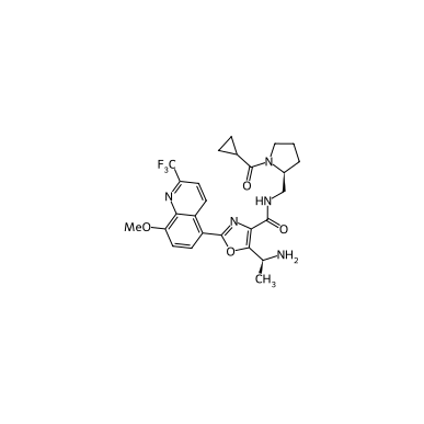 COc1ccc(-c2nc(C(=O)NC[C@@H]3CCCN3C(=O)C3CC3)c([C@H](C)N)o2)c2ccc(C(F)(F)F)nc12